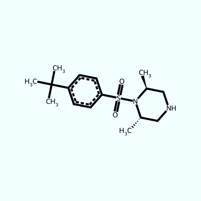 C[C@H]1CNC[C@H](C)N1S(=O)(=O)c1ccc(C(C)(C)C)cc1